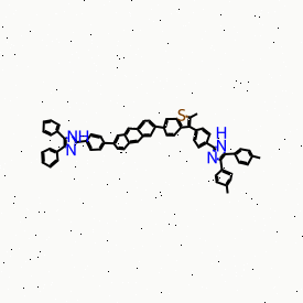 Cc1ccc(-c2nc(-c3ccc(-c4c(C)sc5cc(-c6ccc7cc8cc(-c9ccc(-c%10nc(-c%11ccccc%11)c(-c%11ccccc%11)[nH]%10)cc9)ccc8cc7c6)ccc45)cc3)[nH]c2-c2ccc(C)cc2)cc1